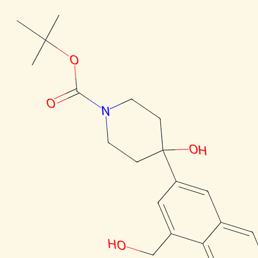 CC(C)(C)OC(=O)N1CCC(O)(c2cc(CO)c3ccccc3c2)CC1